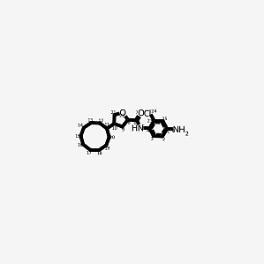 Nc1ccc(NC(=O)C2CC(C3CCCCCCCCC3)CO2)c(Cl)c1